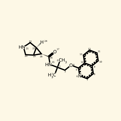 CC(C)(COc1nccc2ccccc12)NC(=O)[C@@H]1C2CNC[C@H]21